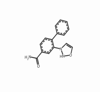 NC(=O)c1ccc(-c2ccccc2)c(N2C=CON2)c1